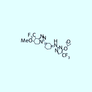 COC1CCn2c(nnc2[C@H]2CCC[C@@H](Nc3ncc(C(F)(F)F)c(OC4COC4)n3)C2)C1C(F)(F)F